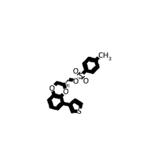 Cc1ccc(S(=O)(=O)OC[C@H]2COc3cccc(-c4ccsc4)c3O2)cc1